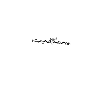 OCCOCCOOCCOCCO.[NaH]